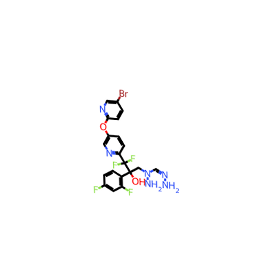 N/N=C\N(N)CC(O)(c1ccc(F)cc1F)C(F)(F)c1ccc(Oc2ccc(Br)cn2)cn1